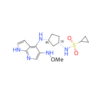 CONc1cnc2[nH]ccc2c1N[C@@H]1CC[C@H](NS(=O)(=O)C2CC2)C1